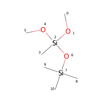 CO[Si](C)(OC)O[Si](C)(C)C